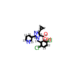 O=C(O)c1c(C2CC2)nc(-c2cccnc2)n1Cc1cc(Cl)ccc1Cl